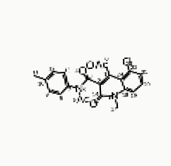 CC(=O)Oc1c(C(=O)N(C(C)=O)c2ccc(C)cc2)c(=O)n(C)c2cccc(Cl)c12